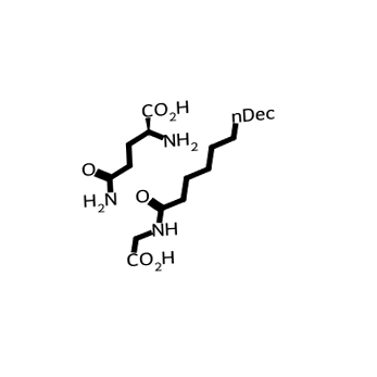 CCCCCCCCCCCCCCCC(=O)NCC(=O)O.NC(=O)CC[C@H](N)C(=O)O